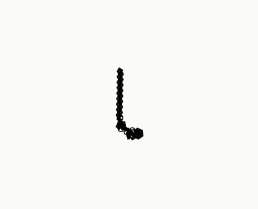 CCCCCCCCCCCCCCCCCCOC[C@H]1CO[C@H](COC(=O)N(C)Cc2ccccn2)C1